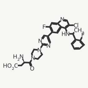 CC(Nc1c(Cl)cnc2cc(F)c(-c3cnc(N4CCN(C(=O)[C@H](N)CC(=O)O)CC4)nc3)cc12)c1ccccc1F